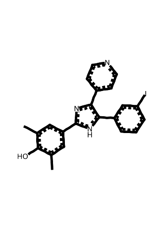 Cc1cc(-c2nc(-c3ccncc3)c(-c3cccc(I)c3)[nH]2)cc(C)c1O